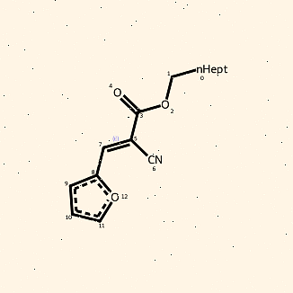 CCCCCCCCOC(=O)/C(C#N)=C/c1ccco1